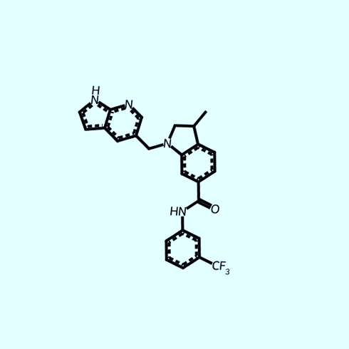 CC1CN(Cc2cnc3[nH]ccc3c2)c2cc(C(=O)Nc3cccc(C(F)(F)F)c3)ccc21